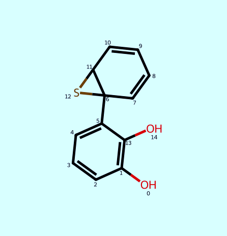 Oc1cccc(C23C=CC=CC2S3)c1O